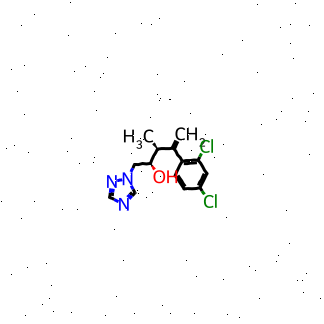 C=C(c1ccc(Cl)cc1Cl)[C@H](C)[C@@H](O)Cn1cncn1